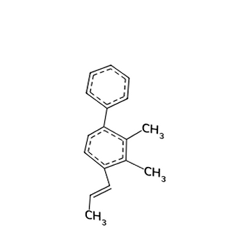 CC=Cc1ccc(-c2ccccc2)c(C)c1C